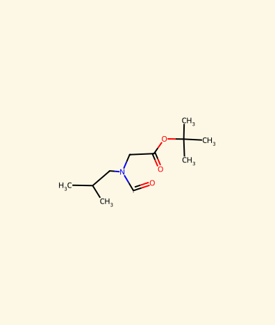 CC(C)CN([C]=O)CC(=O)OC(C)(C)C